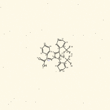 O=C(O)/C(=C/n1nc(-c2ccccc2C(F)(F)F)nc1-c1ccccc1C(F)(F)F)c1ccncc1